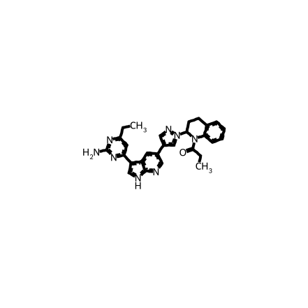 CCC(=O)N1c2ccccc2CCC1n1cc(-c2cnc3[nH]cc(-c4cc(CC)nc(N)n4)c3c2)cn1